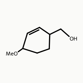 COC1C=CC(CO)CC1